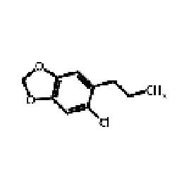 CCCc1cc2c(cc1Cl)OCO2